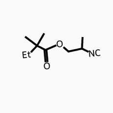 [C-]#[N+]C(C)COC(=O)C(C)(C)CC